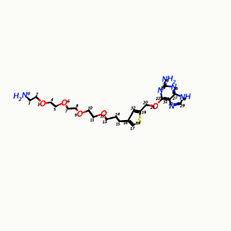 NCCOCCOCCOCCOCCCc1csc(COc2nc(N)nc3[nH]cnc23)c1